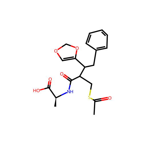 CC(=O)SCC(C(=O)N[C@@H](C)C(=O)O)C(Cc1ccccc1)C1=COCO1